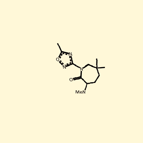 CNC1CCC(C)(C)CN(c2noc(C)n2)C1=O